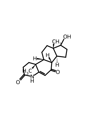 C[C@]12CCC(=O)NC1=CC(=O)[C@@H]1[C@H]2CC[C@]2(C)C(O)CC[C@@H]12